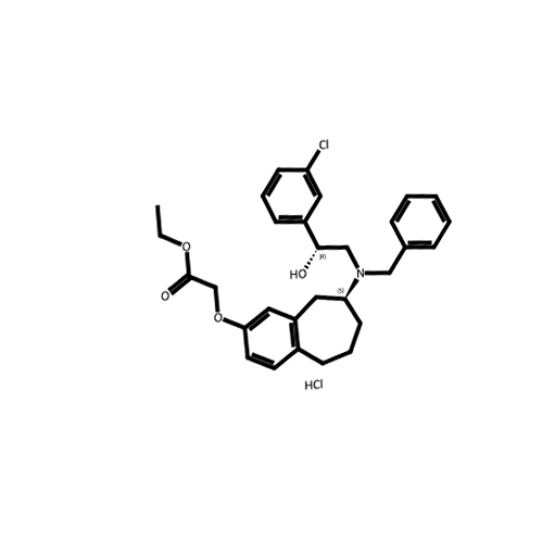 CCOC(=O)COc1ccc2c(c1)C[C@@H](N(Cc1ccccc1)C[C@H](O)c1cccc(Cl)c1)CCC2.Cl